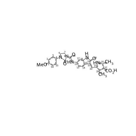 COc1ccc(N2CCN(C(=O)Nc3ccc4c(c3)NC(=O)/C4=C\c3[nH]c(C)c(C(=O)O)c3C)C2=O)cc1